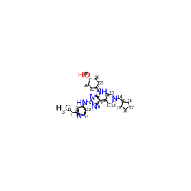 CCc1cc(Nc2ncc(C3CCN(CC4CCCC4)CC3)c(N[C@H]3CC[C@H](O)CC3)n2)ccn1